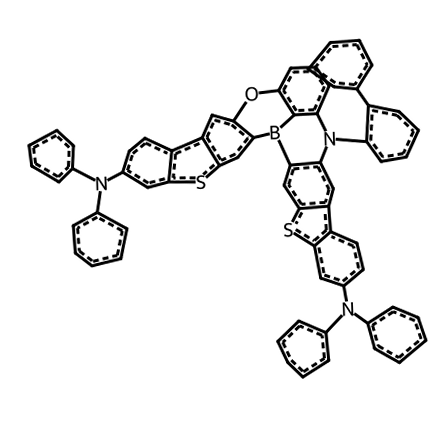 c1ccc(-c2ccccc2N2c3cc4c(cc3B3c5cc6sc7cc(N(c8ccccc8)c8ccccc8)ccc7c6cc5Oc5cccc2c53)sc2cc(N(c3ccccc3)c3ccccc3)ccc24)cc1